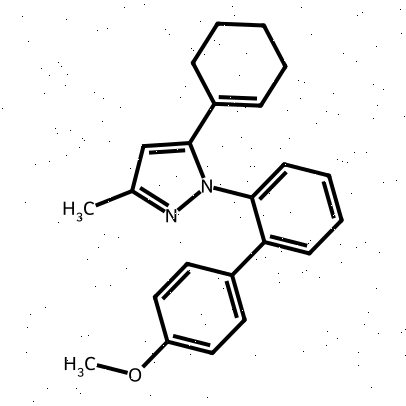 COc1ccc(-c2ccccc2-n2nc(C)cc2C2=CCCCC2)cc1